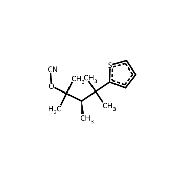 C[C@@H](C(C)(C)OC#N)C(C)(C)c1cccs1